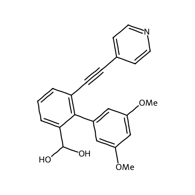 COc1cc(OC)cc(-c2c(C#Cc3ccncc3)cccc2C(O)O)c1